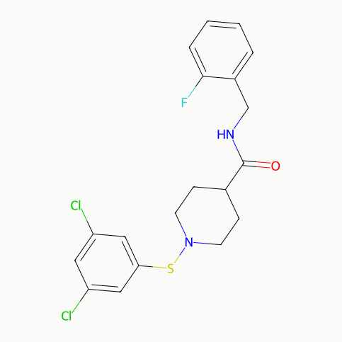 O=C(NCc1ccccc1F)C1CCN(Sc2cc(Cl)cc(Cl)c2)CC1